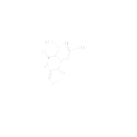 Cc1cc2c(c(C)n1)c(=O)oc1ccccc12